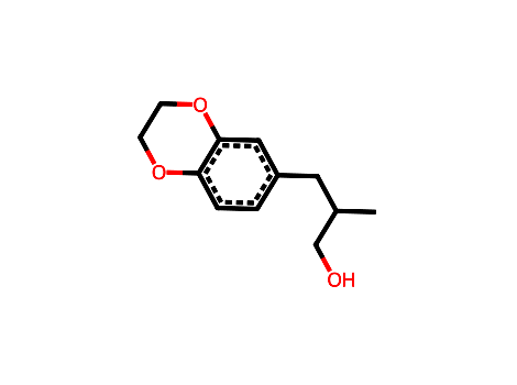 CC(CO)Cc1ccc2c(c1)OCCO2